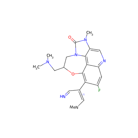 CN/C=C(\C=N)c1c(F)cc2ncc3c4c2c1OC(CN(C)C)Cn4c(=O)n3C